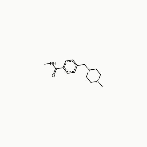 CNC(=O)c1ccc(CN2CCN(C)CC2)cc1